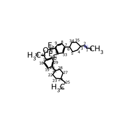 C/C=C/C1CCC(c2ccc(C(F)(F)OC(C)c3ccc(C4CCC(CC)CC4)cc3)c(F)c2)CC1